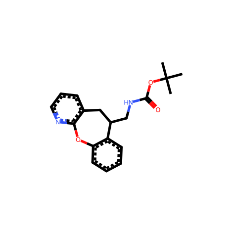 CC(C)(C)OC(=O)NCC1Cc2cccnc2Oc2ccccc21